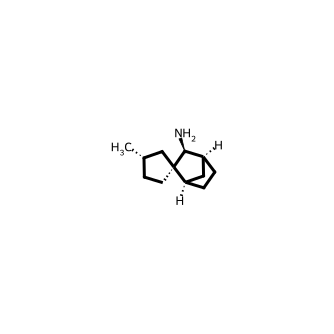 C[C@H]1CC[C@@]2(C1)[C@@H]1CC[C@@H](C1)[C@@H]2N